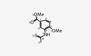 COC(=O)c1ccc(OC)c(NC(C)=S)c1